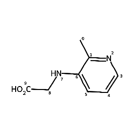 Cc1ncccc1NCC(=O)O